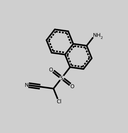 N#CC(Cl)S(=O)(=O)c1ccc(N)c2ccccc12